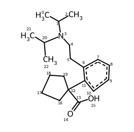 CC(C)N(CCc1ccccc1C1(C(=O)O)CCCC1)C(C)C